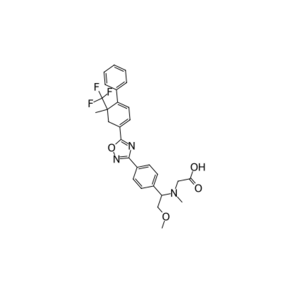 COCC(c1ccc(-c2noc(C3=CC=C(c4ccccc4)C(C)(C(F)(F)F)C3)n2)cc1)N(C)CC(=O)O